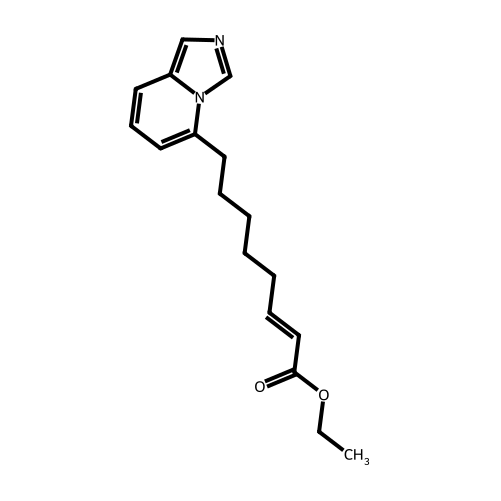 CCOC(=O)C=CCCCCCc1cccc2cncn12